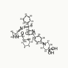 N#CC1(NC(=O)[C@@H]2CCCC[C@H]2c2oc(C(F)(F)c3ccccc3)nc2-c2ccc(N3CCS(O)(O)CC3)cc2)CC1